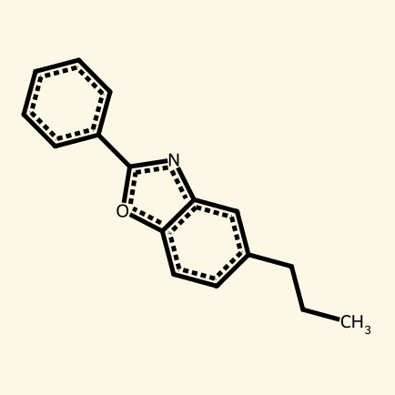 CCCc1ccc2oc(-c3ccccc3)nc2c1